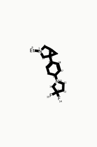 CCN1CC2CC2(C2=CCC(N3CCC(F)(F)C3)C=C2)C1